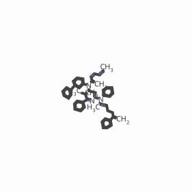 C=C(CC/C=C(\C)N(C(=C/CN(C(=C)/C=C\C=C/C)c1cccc(-c2ccccc2)c1)/N=C(/c1ccccc1)C(C)CC)c1ccccc1)c1ccccc1